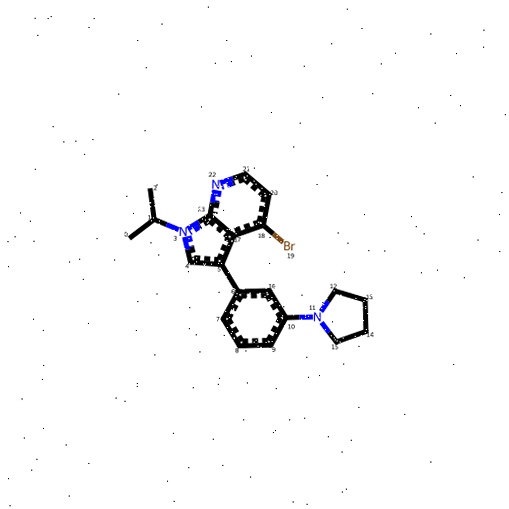 CC(C)n1cc(-c2cccc(N3CCCC3)c2)c2c(Br)ccnc21